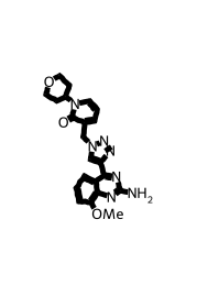 COc1cccc2c(-c3cn(Cc4cccn(C5CCOCC5)c4=O)nn3)nc(N)nc12